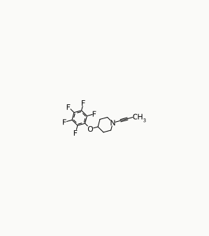 CC#CN1CCC(Oc2c(F)c(F)c(F)c(F)c2F)CC1